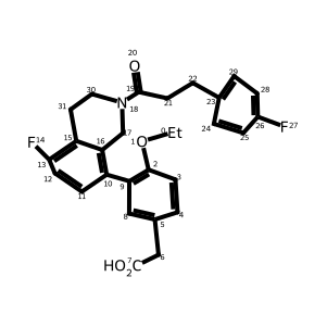 CCOc1ccc(CC(=O)O)cc1-c1ccc(F)c2c1CN(C(=O)CCc1ccc(F)cc1)CC2